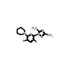 Cc1nc(C)n(-c2nc(N3CCCCC3)c(F)cc2F)n1